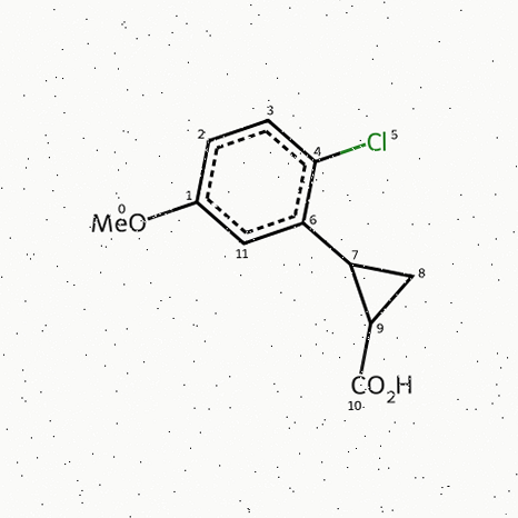 COc1ccc(Cl)c(C2CC2C(=O)O)c1